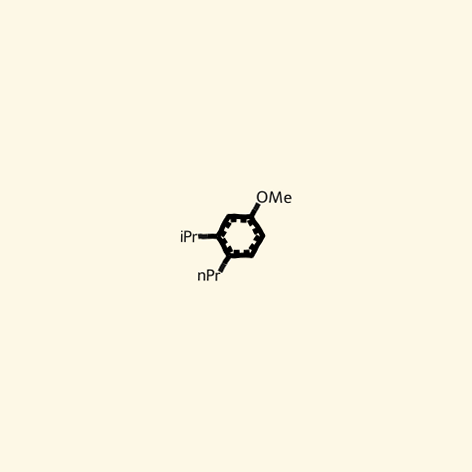 [CH2]C(C)c1cc(OC)ccc1CCC